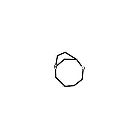 C1CCN2CCC(C2)OC1